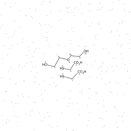 O=C(O)CS.O=C(O)CS.OCCOCCO